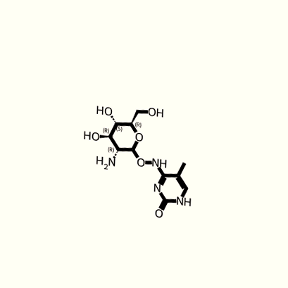 Cc1c[nH]c(=O)nc1NOC1O[C@H](CO)[C@@H](O)[C@H](O)[C@H]1N